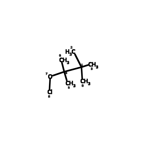 CC(C)(C)C(C)(C)OCl